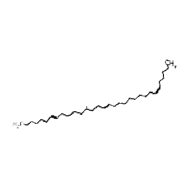 CCCCC/C=C\CCCCCCCCC=CCC[CH]CCCCC=CCCCCCC